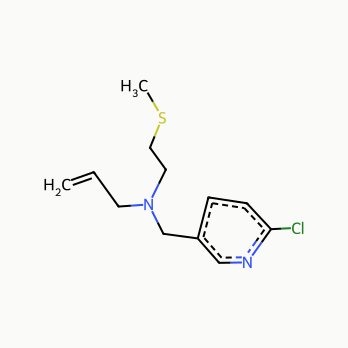 C=CCN(CCSC)Cc1ccc(Cl)nc1